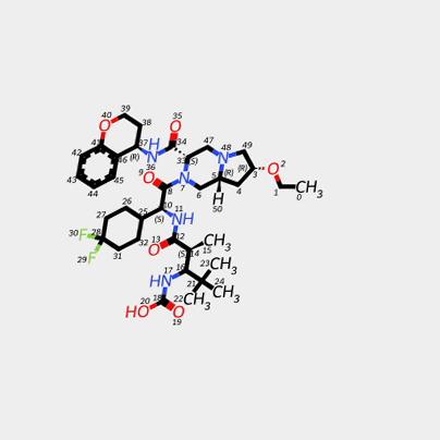 CCO[C@@H]1C[C@@H]2CN(C(=O)[C@@H](NC(=O)[C@@H](C)C(NC(=O)O)C(C)(C)C)C3CCC(F)(F)CC3)[C@H](C(=O)N[C@@H]3CCOc4ccccc43)CN2C1